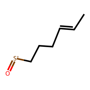 CC=CCCC[S+]=O